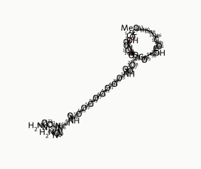 CO[C@H]1CC2CCC[C@@](O)(O2)C(=O)C(=O)N2CCCC[C@H]2C(=O)O[C@H](CCC2CCC(OC(=O)NCCOCCOCCOCCOCCOCCOCCOCCOCCC(=O)NCCCCn3nc(-c4ccc5oc(N)nc5c4)c4c(N)ncnc43)CC2)CC(=O)[C@H](C)/C=C(\C)[C@@H](O)CC(=O)[C@H](C)C[C@H](C)/C=C/C=C/C=C/1C